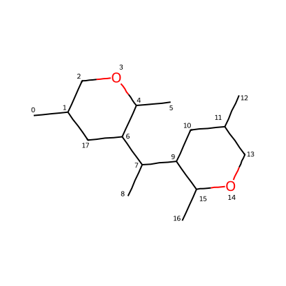 CC1COC(C)C(C(C)C2CC(C)COC2C)C1